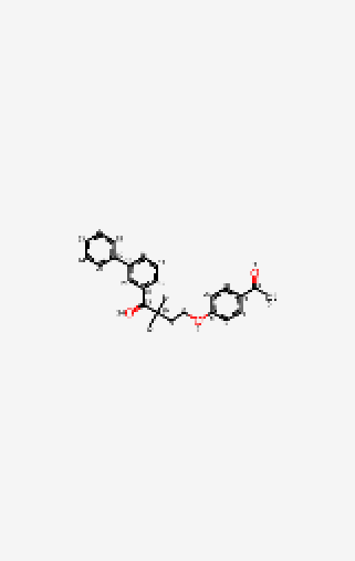 CCC(=O)c1ccc(OCCC(C)(C)C(=O)c2cccc(-c3ccccc3)c2)cc1